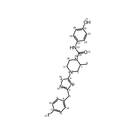 CC1CN(c2nc(Cc3ccc(F)cc3)ns2)CCN1C(=O)Nc1ccc(O)cc1